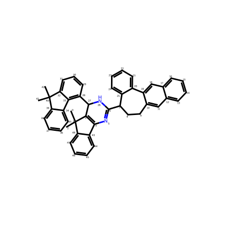 CC1(C)C2=C(N=C(C3CCc4cc5ccccc5cc4-c4ccccc43)NC2c2cccc3c2-c2ccccc2C3(C)C)c2ccccc21